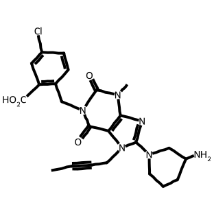 CC#CCn1c(N2CCCC(N)C2)nc2c1c(=O)n(Cc1ccc(Cl)cc1C(=O)O)c(=O)n2C